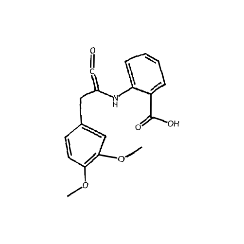 COc1ccc(CC(=C=O)Nc2ccccc2C(=O)O)cc1OC